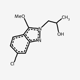 COc1c2ccc(Cl)cc2nn1CC(C)O